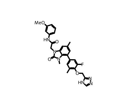 COc1cccc(NC(=O)Cn2c(=O)n(C)c3c(-c4cc(C)c(OCc5nnc[nH]5)c(F)c4)cc(C)cc32)c1